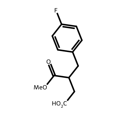 COC(=O)C(CC(=O)O)Cc1ccc(F)cc1